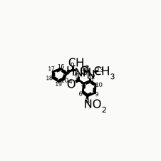 CC(NC(=O)c1cc([N+](=O)[O-])ccc1N(C)C)c1ccccc1